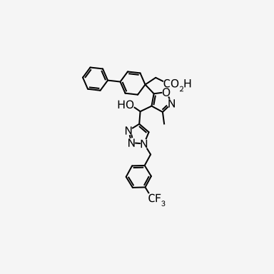 Cc1noc(C2(CC(=O)O)C=CC(c3ccccc3)=CC2)c1C(O)c1cn(Cc2cccc(C(F)(F)F)c2)nn1